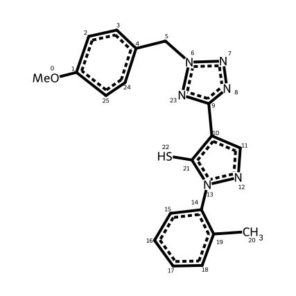 COc1ccc(Cn2nnc(-c3cnn(-c4ccccc4C)c3S)n2)cc1